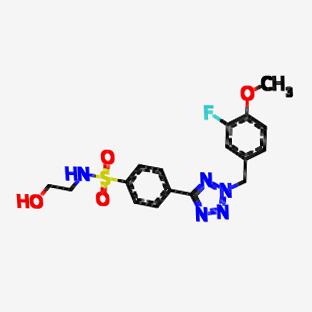 COc1ccc(Cn2nnc(-c3ccc(S(=O)(=O)NCCO)cc3)n2)cc1F